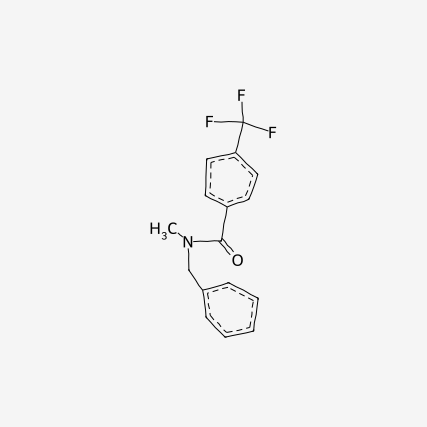 CN(Cc1ccccc1)C(=O)c1ccc(C(F)(F)F)cc1